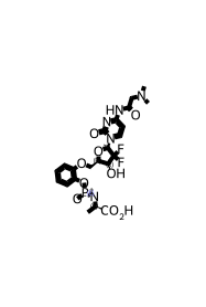 C[C@H](/N=[P+](\[O-])Oc1ccccc1OC[C@H]1O[C@@H](n2ccc(NC(=O)CN(C)C)nc2=O)C(F)(F)[C@@H]1O)C(=O)O